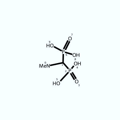 CNC(P(=O)(O)O)P(=O)(O)O